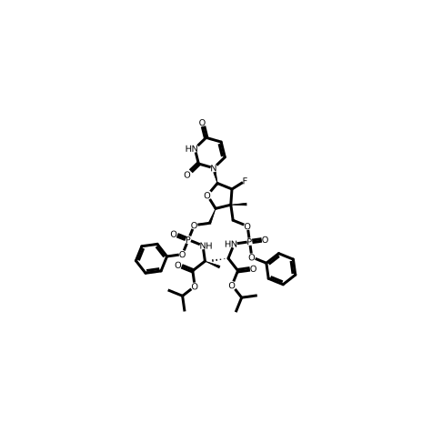 CC(C)OC(=O)[C@H](C)NP(=O)(OC[C@H]1O[C@@H](n2ccc(=O)[nH]c2=O)C(F)[C@]1(C)COP(=O)(N[C@@H](C)C(=O)OC(C)C)Oc1ccccc1)Oc1ccccc1